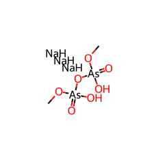 CO[As](=O)(O)O[As](=O)(O)OC.[NaH].[NaH].[NaH]